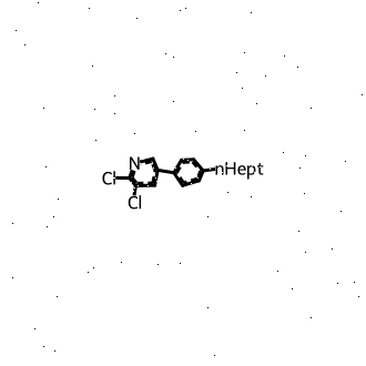 CCCCCCCc1ccc(-c2cnc(Cl)c(Cl)c2)cc1